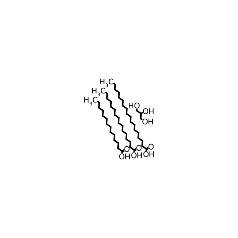 CCCCCCCCCCCCCC(=O)O.CCCCCCCCCCCCCCCC(=O)O.CCCCCCCCCCCCCCCCCC(=O)O.OCC(O)CO